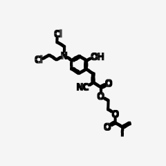 C=C(C)C(=O)OCCOC(=O)/C(C#N)=C/c1ccc(N(CCCl)CCCl)cc1O